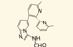 Cc1cccc(-c2nc(C)ccc2-c2ccc3ncc(NC=O)n3c2)n1